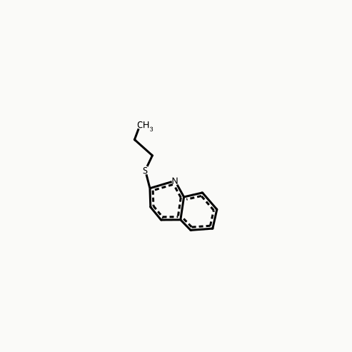 CCCSc1ccc2ccccc2n1